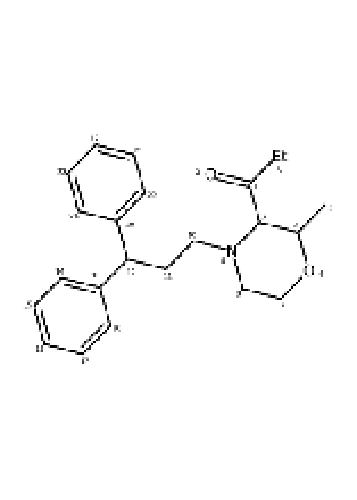 CCC(=O)C1C(C)OCCN1CCC(c1ccccc1)c1ccccc1